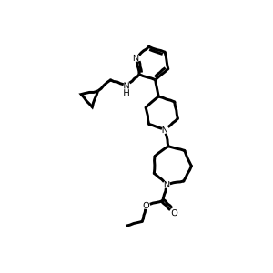 CCOC(=O)N1CCCC(N2CCC(c3cccnc3NCC3CC3)CC2)CC1